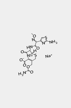 CON=C(C(=O)NC1C(=O)N2C(C(=O)[O-])=C(COC(N)=O)CS[C@@H]12)c1csc(N)n1.[Na+]